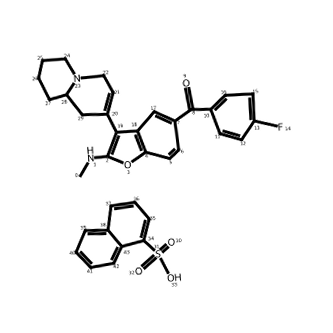 CNc1oc2ccc(C(=O)c3ccc(F)cc3)cc2c1C1=CCN2CCCCC2C1.O=S(=O)(O)c1cccc2ccccc12